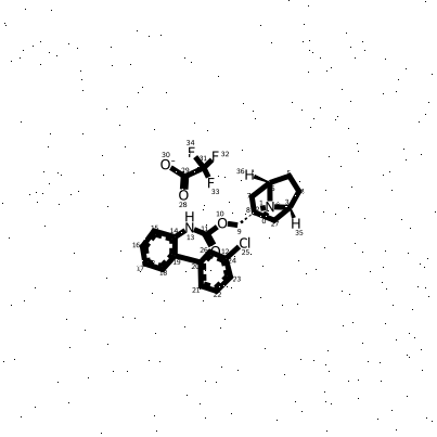 C[N+]1(C)[C@@H]2CC[C@H]1C[C@@H](COC(=O)Nc1ccccc1-c1cccc(Cl)c1)C2.O=C([O-])C(F)(F)F